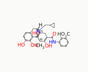 C[C@H]1C(O)=C(C(=O)Nc2ccccc2C(=O)O)C[C@@]2(O)[C@H]3Cc4ccc(O)c(O)c4[C@@]12CCN3CC1CC1